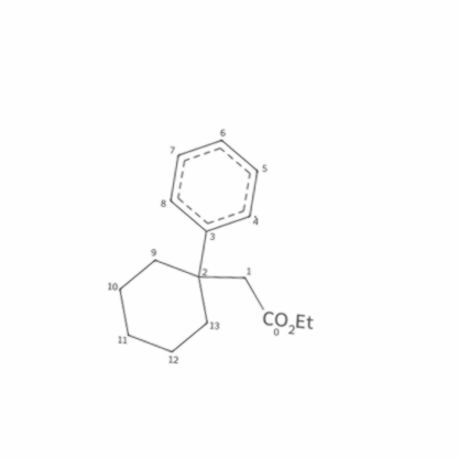 CCOC(=O)CC1(c2[c]cccc2)CCCCC1